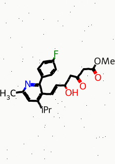 COC(=O)CC(=O)CC(O)/C=C/c1c(C(C)C)cc(C)nc1-c1ccc(F)cc1